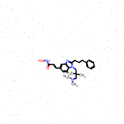 CN(C)CC(C)(C)Cn1c(CCCc2ccccc2)nc2cc(C=CC(=O)NO)ccc21